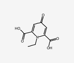 CCn1c(C(=O)O)cc(=O)cc1C(=O)O